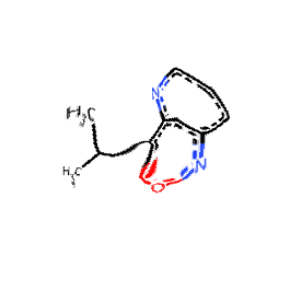 CC(C)c1onc2cccnc12